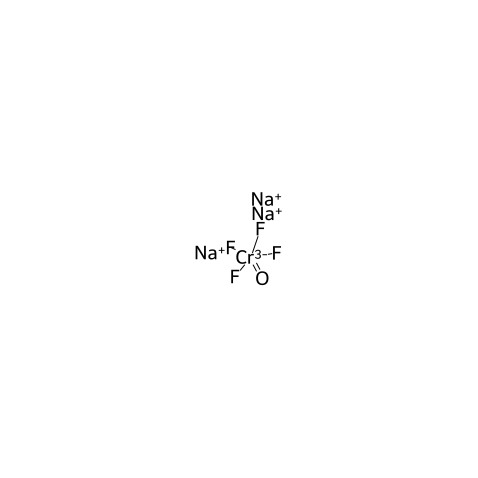 [Na+].[Na+].[Na+].[O]=[Cr-3]([F])([F])([F])[F]